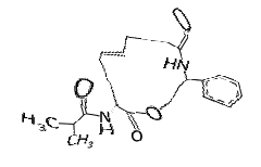 CC(C)C(=O)N[C@@H]1C/C=C/CCC(=O)NC(c2ccccc2)COC1=O